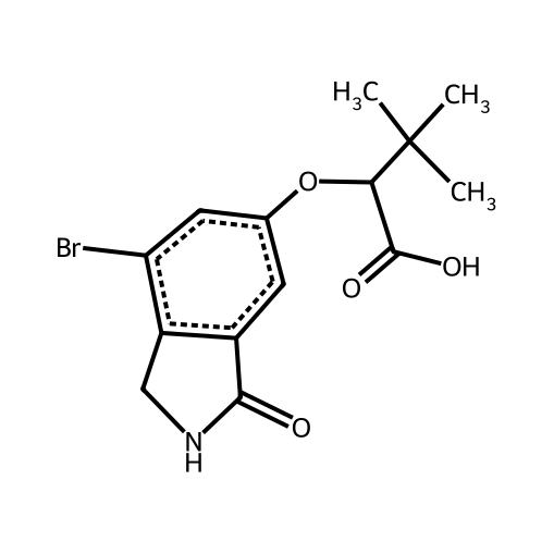 CC(C)(C)C(Oc1cc(Br)c2c(c1)C(=O)NC2)C(=O)O